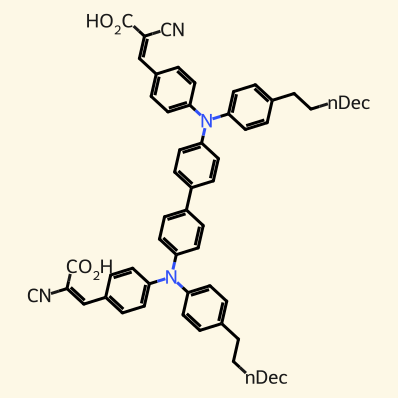 [C-]#[N+]/C(=C/c1ccc(N(c2ccc(CCCCCCCCCCCC)cc2)c2ccc(-c3ccc(N(c4ccc(/C=C(\C#N)C(=O)O)cc4)c4ccc(CCCCCCCCCCCC)cc4)cc3)cc2)cc1)C(=O)O